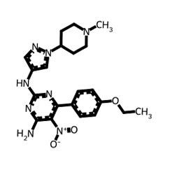 CCOc1ccc(-c2nc(Nc3cnn(C4CCN(C)CC4)c3)nc(N)c2[N+](=O)[O-])cc1